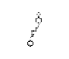 O=C1CCN(CCCOCCc2ccccc2)CC1